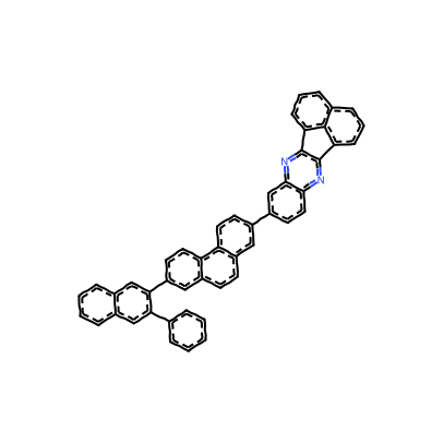 c1ccc(-c2cc3ccccc3cc2-c2ccc3c(ccc4cc(-c5ccc6nc7c(nc6c5)-c5cccc6cccc-7c56)ccc43)c2)cc1